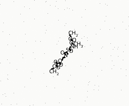 C=CCOC(=O)OC(C)NCC(=O)SC1CN(C=CCOC(=O)C(=O)C(=O)OCC=C)C1=O